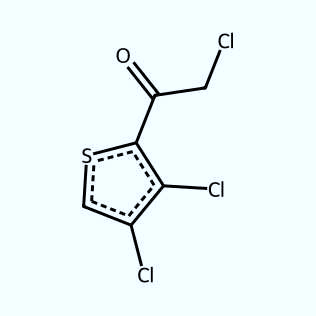 O=C(CCl)c1scc(Cl)c1Cl